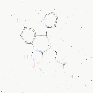 COC(=O)CC[C@@H]1N=C(c2ccccn2)c2cc(Br)ccc2N=C1OP(N)(N)=O